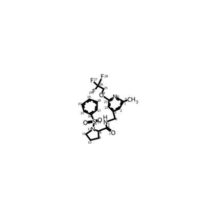 Cc1cc(CNC(=O)C2CCCN2S(=O)(=O)c2ccccc2)cc(OCC(F)(F)F)n1